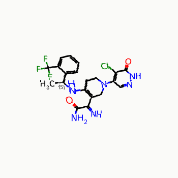 C[C@H](NC1=C(C(=N)C(N)=O)CN(c2cn[nH]c(=O)c2Cl)CC1)c1ccccc1C(F)(F)F